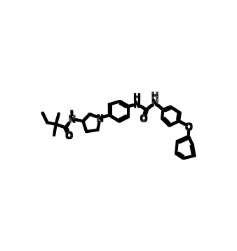 CCC(C)(C)C(=O)N(C)C1CCN(c2ccc(NC(=O)Nc3ccc(Oc4ccccc4)cc3)cc2)C1